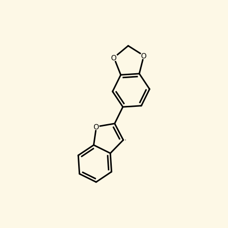 [c]1c(-c2ccc3c(c2)OCO3)oc2ccccc12